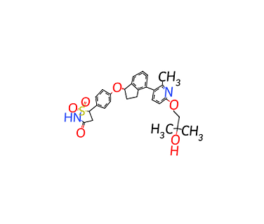 Cc1nc(OCCC(C)(C)O)ccc1-c1cccc2c1CC[C@H]2Oc1ccc(C2CC(=O)NS2(=O)=O)cc1